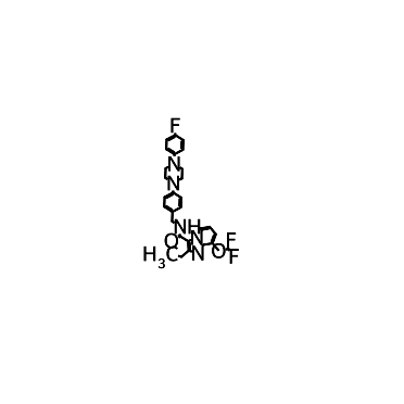 CCc1nc2c(OC(F)F)cccn2c1C(=O)NCc1ccc(N2CCN(c3ccc(F)cc3)CC2)cc1